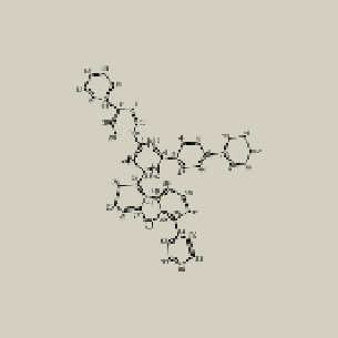 C1=C(c2ccc(-c3nc(-c4ccc(-c5ccccc5)cc4)nc(-c4cccc5oc6c(-c7ccccc7)cccc6c45)n3)cc2)CCCC1